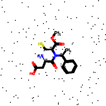 COC(=O)[C@H](CS)N(C(=O)[C@@H](N)CC(=O)O)[C@@H](C)c1ccccc1